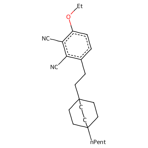 CCCCCC12CCC(CCc3ccc(OCC)c(C#N)c3C#N)(CC1)CC2